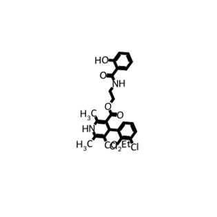 CCOC(=O)C1=C(C)NC(C)=C(C(=O)OCCNC(=O)c2ccccc2O)C1c1cccc(Cl)c1Cl